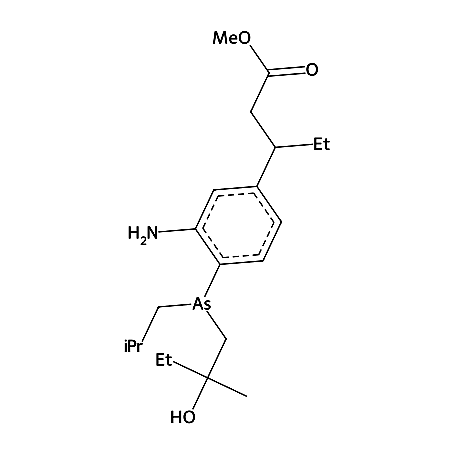 CCC(CC(=O)OC)c1ccc([As](CC(C)C)CC(C)(O)CC)c(N)c1